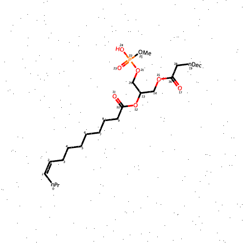 CCC/C=C\CCCCCCCC(=O)OC(COC(=O)CCCCCCCCCCC)COP(=O)(O)OC